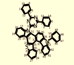 c1ccc(-c2nc(-c3ccccc3)nc(-n3c4ccccc4c4c5sc6ccccc6c5c5c(ccc6c5c5ccccc5n6-c5ccccc5)c43)n2)cc1